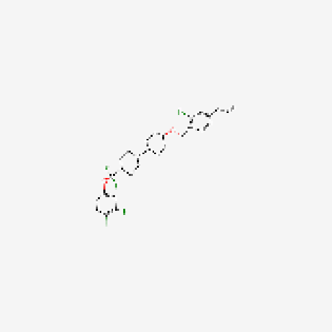 C=CCc1ccc(COC2CCC(C3CCC(C(F)(F)Oc4ccc(F)c(F)c4)CC3)CC2)c(F)c1